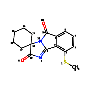 CSc1cccc2c1C1=NC(=O)C3(CCCCC3)N1C2=O